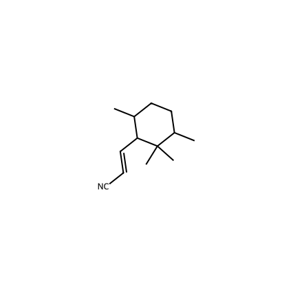 CC1CCC(C)C(C)(C)C1C=CC#N